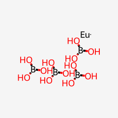 OB(O)O.OB(O)O.OB(O)O.OB(O)O.[Eu]